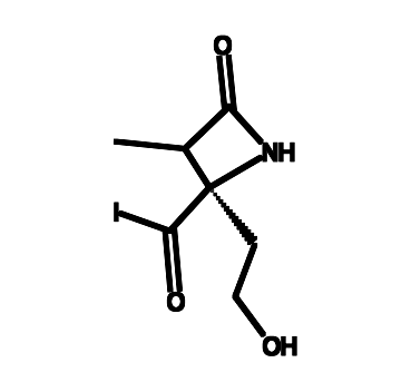 CC1C(=O)N[C@@]1(CCO)C(=O)I